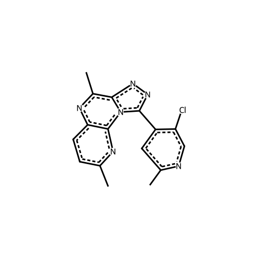 Cc1cc(-c2nnc3c(C)nc4ccc(C)nc4n23)c(Cl)cn1